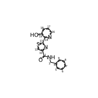 O=C(NCc1ccccc1)c1csc(-c2ncccc2O)n1